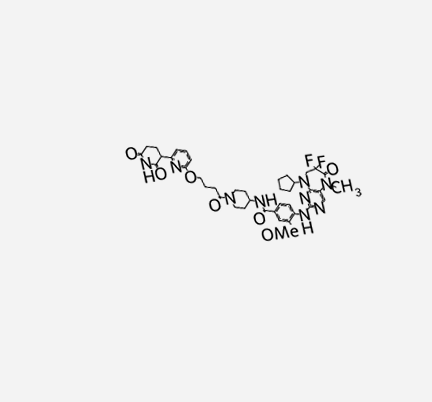 COc1cc(C(=O)NC2CCN(C(=O)CCCOc3cccc(C4CCC(=O)NC4=O)n3)CC2)ccc1Nc1ncc2c(n1)N(C1CCCC1)CC(F)(F)C(=O)N2C